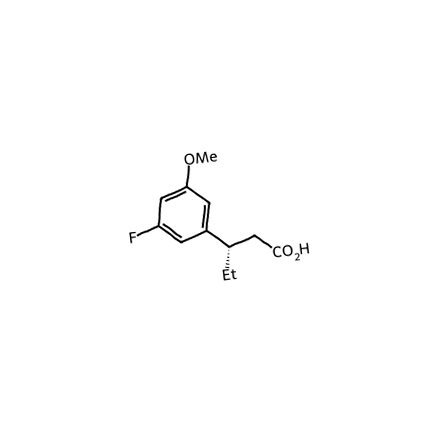 CC[C@@H](CC(=O)O)c1cc(F)cc(OC)c1